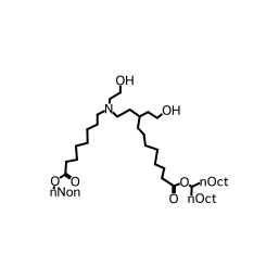 CCCCCCCCCOC(=O)CCCCCCCN(CCO)CCC(CCO)CCCCCCCC(=O)OC(CCCCCCCC)CCCCCCCC